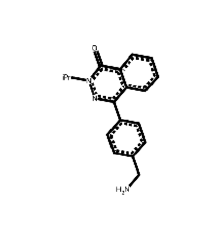 CC(C)n1nc(-c2ccc(CN)cc2)c2ccccc2c1=O